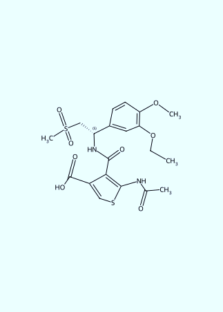 CCOc1cc([C@@H](CS(C)(=O)=O)NC(=O)c2c(C(=O)O)csc2NC(C)=O)ccc1OC